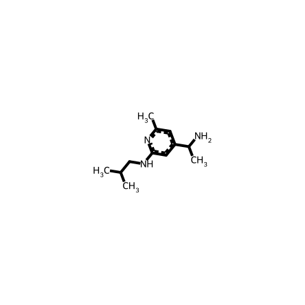 Cc1cc(C(C)N)cc(NCC(C)C)n1